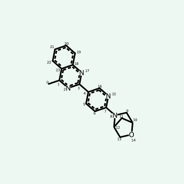 Cc1nc(-c2ccc(N3CC4CC3CO4)nc2)nc2ccccc12